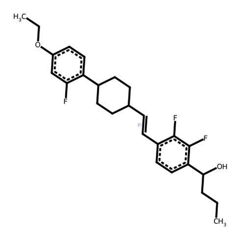 CCCC(O)c1ccc(/C=C/C2CCC(c3ccc(OCC)cc3F)CC2)c(F)c1F